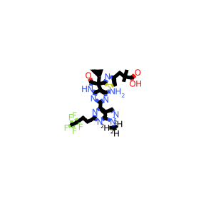 [2H]C([2H])([2H])n1ncc2c(-c3nc(N)c4c(n3)NC(=O)C4(c3nc(CC(C)(C)C(=O)O)cs3)C3CC3)nc(CCC(F)(F)C(F)(F)F)nc21